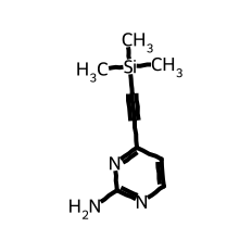 C[Si](C)(C)C#Cc1ccnc(N)n1